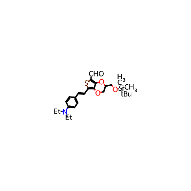 CCN(CC)c1ccc(/C=C/c2sc(C=O)c3c2OCC(CO[Si](C)(C)C(C)(C)C)O3)cc1